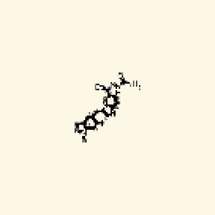 CC/C(=N/NC(N)=O)c1ccc2ncc(Cc3cc4cnn(C)c4cc3F)n2n1